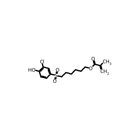 C=C(C)C(=O)OCCCCCCS(=O)(=O)c1ccc(O)c(Cl)c1